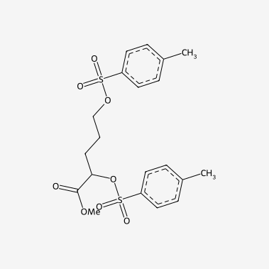 COC(=O)C(CCCOS(=O)(=O)c1ccc(C)cc1)OS(=O)(=O)c1ccc(C)cc1